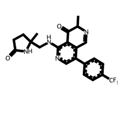 CC1N=Cc2c(-c3ccc(C(F)(F)F)cc3)cnc(NCC3(C)CCC(=O)N3)c2C1=O